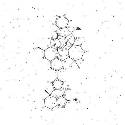 C[C@H](Oc1nc(-c2noc([C@@]3(C)CCCc4sc(N)c(C#N)c43)n2)nc(N2CC(C)(O[Si](c3ccccc3)(c3ccccc3)C(C)(C)C)COCC2(C)C)n1)[C@@H]1C[C@@H](F)CN1C